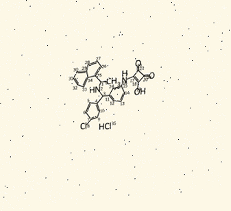 C[C@@H](NC(c1ccc(Cl)cc1)c1cccc(Nc2c(O)c(=O)c2=O)c1)c1cccc2ccccc12.Cl